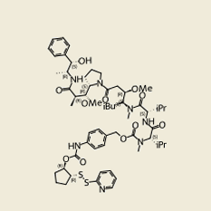 CC[C@H](C)[C@@H]([C@@H](CC(=O)N1CCC[C@H]1[C@H](OC)[C@@H](C)C(=O)N[C@H](C)[C@@H](O)c1ccccc1)OC)N(C)C(=O)[C@@H](NC(=O)[C@H](C(C)C)N(C)C(=O)OCc1ccc(NC(=O)O[C@@H]2CCC[C@H]2SSc2ccccn2)cc1)C(C)C